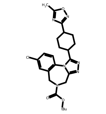 Cc1nc(C2CCC(c3nnc4n3-c3ccc(Cl)cc3CN(C(=O)OC(C)(C)C)C4)CC2)no1